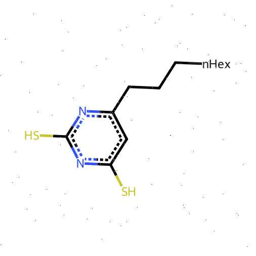 CCCCCCCCCc1cc(S)nc(S)n1